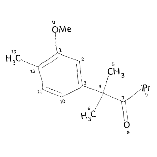 COc1cc(C(C)(C)C(=O)C(C)C)ccc1C